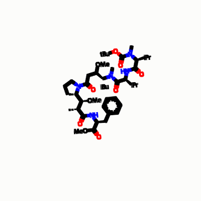 CC[C@H](C)[C@@H](C(CC(=O)N1CCC[C@H]1[C@H](OC)[C@@H](C)C(=O)N[C@@H](Cc1ccccc1)C(=O)OC)OC)N(C)C(=O)[C@@H](NC(=O)[C@H](C(C)C)N(C)C(=O)OC(C)(C)C)C(C)C